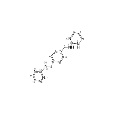 C1=CNC(NCc2ccc(CNc3ncccn3)cc2)N=C1